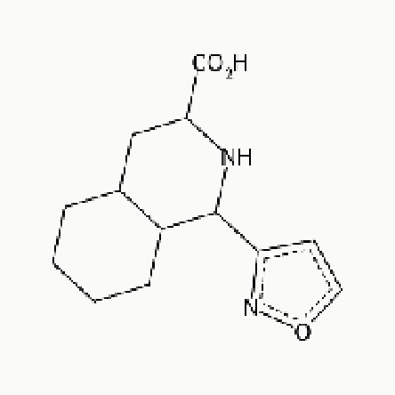 O=C(O)C1CC2CCCCC2C(c2ccon2)N1